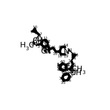 CN(C)Cc1c(OCC2CC2)ccc2c(CCC3CCN(C[C@H]4C[C@H]4CCC(C)(C)[Si](O)(c4ccccc4)c4ccccc4)CC3)noc12